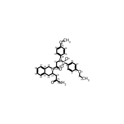 CCOc1ccc(S(=O)(=O)N(CC(=O)N2Cc3ccccc3CC2CC(N)=O)c2ccc(OC)cc2)cc1